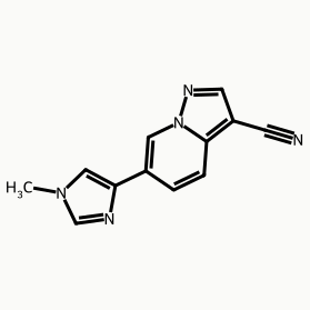 Cn1cnc(-c2ccc3c(C#N)cnn3c2)c1